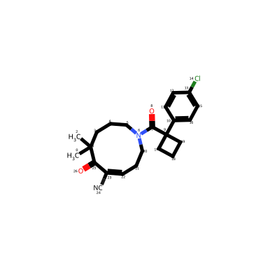 CC1(C)CCCN(C(=O)C2(c3ccc(Cl)cc3)CCC2)CC/C=C(/C#N)C1=O